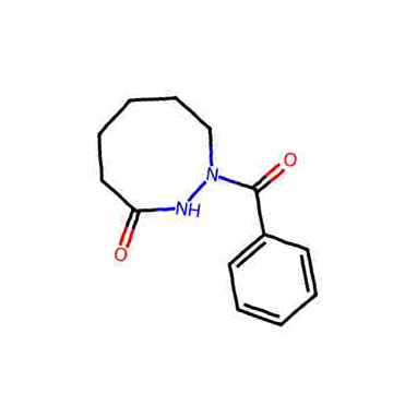 O=C1CCCCCN(C(=O)c2ccccc2)N1